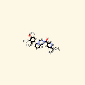 COc1ccc([C@H]2CCC[C@H]3CN(C(=O)c4ccc(C(C)C)nc4)CCN32)c(C)c1C